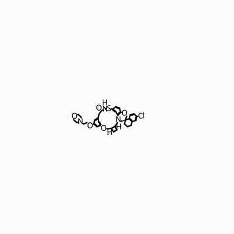 O=C1Cc2cc(OCCN3CCOCC3)cc(c2)OC[C@@H]2CC[C@H]2CN2C[C@@]3(CCCc4cc(Cl)ccc43)COc3ccc(cc32)SN1